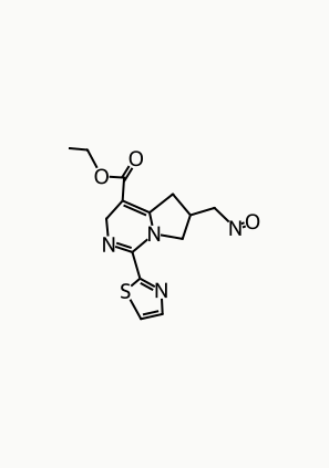 CCOC(=O)C1=C2CC(CN=O)CN2C(c2nccs2)=NC1